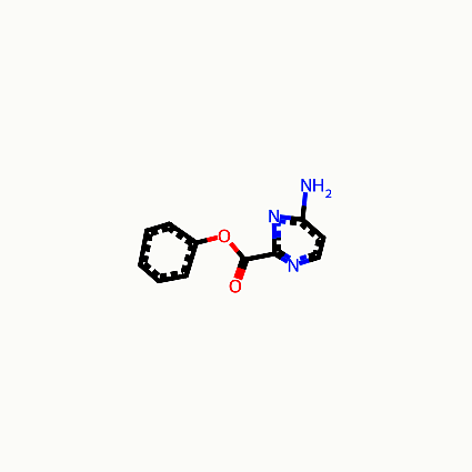 Nc1ccnc(C(=O)Oc2ccccc2)n1